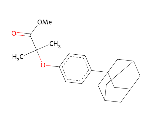 COC(=O)C(C)(C)Oc1ccc(C23CC4CC(CC(C4)C2)C3)cc1